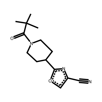 CC(C)(C)C(=O)N1CCC(c2nc(C#N)co2)CC1